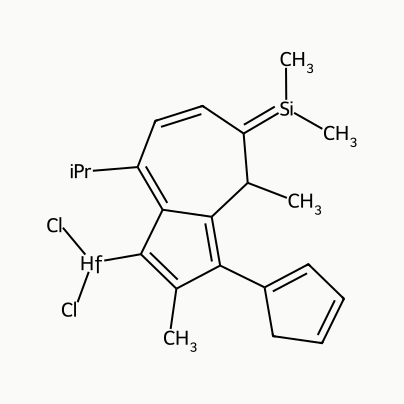 CC1=[C]([Hf]([Cl])[Cl])C2=C(C(C)C)C=CC(=[Si](C)C)C(C)C2=C1C1=CC=CC1